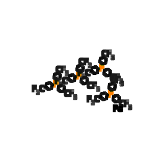 FC(F)(F)c1ccc(P(c2ccc(C(F)(F)F)cc2)c2ccc(C(F)(F)F)cc2)cc1.FC(F)(F)c1ccc(P(c2ccc(C(F)(F)F)cc2)c2ccc(C(F)(F)F)cc2)cc1.FC(F)(F)c1ccc(P(c2ccc(C(F)(F)F)cc2)c2ccc(C(F)(F)F)cc2)cc1.FC(F)(F)c1ccc(P(c2ccc(C(F)(F)F)cc2)c2ccc(C(F)(F)F)cc2)cc1.[Pd]